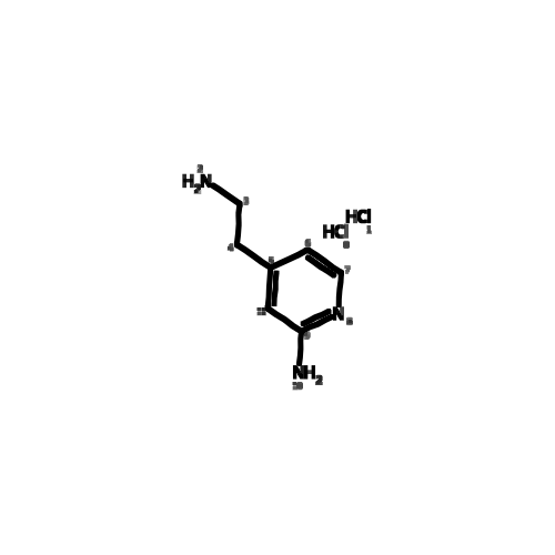 Cl.Cl.NCCc1ccnc(N)c1